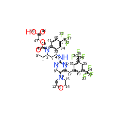 CC[C@@H]1C[C@H](Nc2ncc(N3CCOCC3)c(Cc3cc(C(F)(F)F)cc(C(F)(F)F)c3)n2)c2cc(C(F)(F)F)ccc2N1C(=O)OCC(=O)O